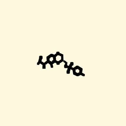 CC(=O)Nc1ccc2c(c1C)O[C@@H](COS(=O)(=O)c1ccc(C)cc1)CO2